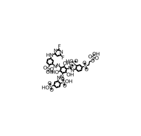 O=S(=O)(O)OCCS(=O)(=O)c1ccc(/N=N/c2c(O)c(/N=N/c3cc(Nc4cc(F)nc(F)n4)ccc3S(=O)(=O)O)c(O)c(/N=N/c3cc(S(=O)(=O)O)ccc3S(=O)(=O)O)c2O)c(S(=O)(=O)O)c1